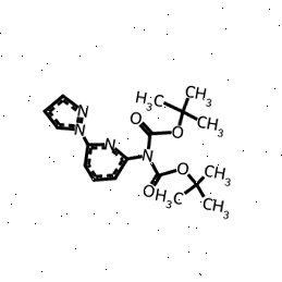 CC(C)(C)OC(=O)N(C(=O)OC(C)(C)C)c1cccc(-n2cccn2)n1